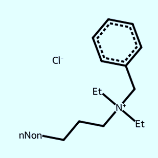 CCCCCCCCCCCC[N+](CC)(CC)Cc1ccccc1.[Cl-]